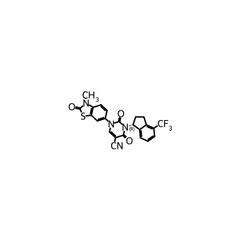 Cn1c(=O)sc2cc(-n3cc(C#N)c(=O)n([C@@H]4CCc5c4cccc5C(F)(F)F)c3=O)ccc21